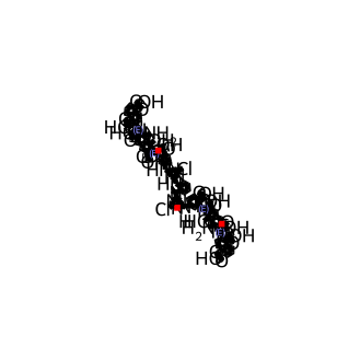 CN(c1nc(Cl)nc(Nc2ccc(S(=O)(=O)O)c(/N=N/c3c(S(=O)(=O)O)cc4cc(S(=O)(=O)O)c(/N=N/c5ccc6c(S(=O)(=O)O)cccc6c5S(=O)(=O)O)c(N)c4c3O)c2)n1)c1ccccc1Nc1nc(Cl)nc(Nc2ccc(S(=O)(=O)O)c(/N=N/c3c(S(=O)(=O)O)cc4cc(S(=O)(=O)O)c(/N=N/c5ccc6c(S(=O)(=O)O)cccc6c5S(=O)(=O)O)c(N)c4c3O)c2)n1